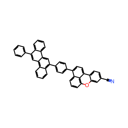 N#Cc1ccc2c(c1)Oc1cccc3c(-c4ccc(-c5cc6c7ccccc7c(-c7ccccc7)cc6c6ccccc56)cc4)ccc-2c13